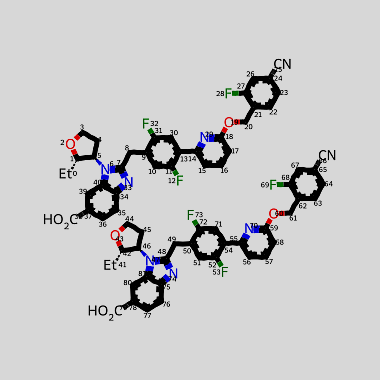 CC[C@@H]1OCC[C@H]1n1c(Cc2cc(F)c(-c3cccc(OCc4ccc(C#N)cc4F)n3)cc2F)nc2ccc(C(=O)O)cc21.CC[C@@H]1OCC[C@H]1n1c(Cc2cc(F)c(-c3cccc(OCc4ccc(C#N)cc4F)n3)cc2F)nc2ccc(C(=O)O)cc21